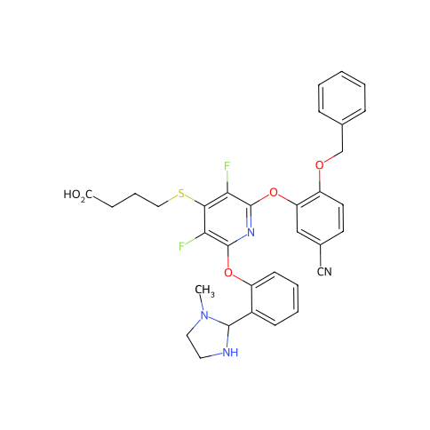 CN1CCNC1c1ccccc1Oc1nc(Oc2cc(C#N)ccc2OCc2ccccc2)c(F)c(SCCCC(=O)O)c1F